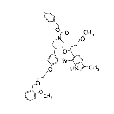 COCCCC(OC1CN(C(=O)OCc2ccccc2)CCC1c1ccc(OCCCOCc2ccccc2OC)cc1)c1ccc2c(C)c[nH]c2c1Br